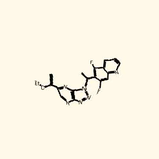 C=C(OCC)c1cnc2nnn(C(C)c3c(F)cc4ncccc4c3F)c2n1